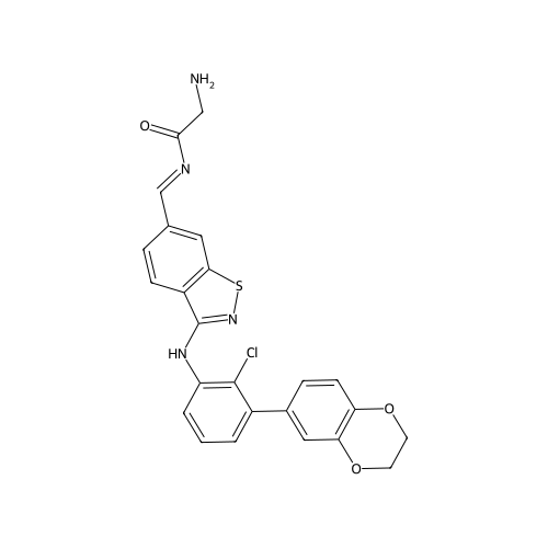 NCC(=O)N=Cc1ccc2c(Nc3cccc(-c4ccc5c(c4)OCCO5)c3Cl)nsc2c1